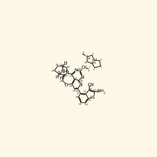 C[C@H]1CN2CCC[C@@]2(COc2nc3c4c(cc(-c5cccc6sc(N)c(C#N)c56)nc4n2)OC[C@@H]2[C@@H]4CC[C@H](CN32)N4)C1